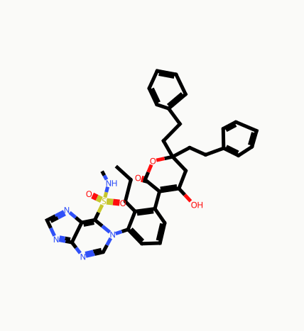 CCCc1c(C2=C(O)CC(CCc3ccccc3)(CCc3ccccc3)OC2=O)cccc1-n1cnc2ncnc-2c1S(=O)(=O)NC